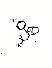 Cl.O=C(O)CC1CCC2CCC1N2Cc1ccccc1